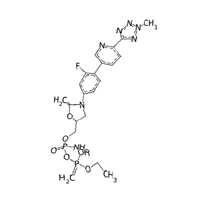 C=C1OC(COP(N)(=O)OP(=C)(O)OCC)CN1c1ccc(-c2ccc(-c3nnn(C)n3)nc2)c(F)c1